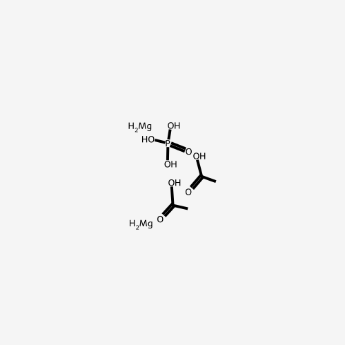 CC(=O)O.CC(=O)O.O=P(O)(O)O.[MgH2].[MgH2]